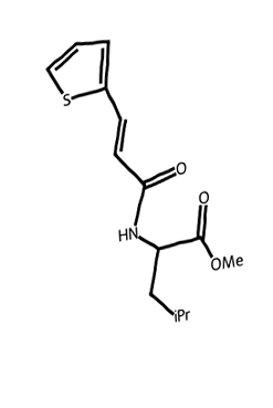 COC(=O)C(CC(C)C)NC(=O)C=Cc1cccs1